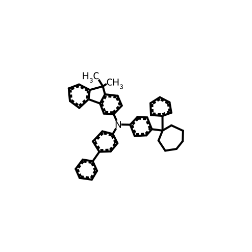 CC1(C)c2ccccc2-c2cc(N(c3ccc(-c4ccccc4)cc3)c3ccc(C4(c5ccccc5)CCCCCC4)cc3)ccc21